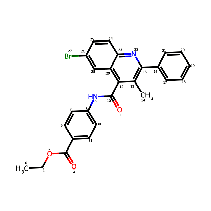 CCOC(=O)c1ccc(NC(=O)c2c(C)c(-c3ccccc3)nc3ccc(Br)cc23)cc1